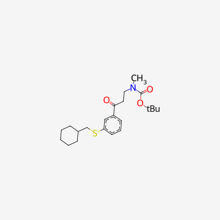 CN(CCC(=O)c1cccc(SCC2CCCCC2)c1)C(=O)OC(C)(C)C